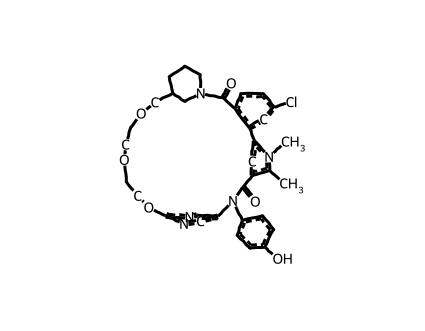 Cc1c2cc(n1C)-c1cc(Cl)ccc1C(=O)N1CCCC(COCCOCCOc3ncc(cn3)N(c3ccc(O)cc3)C2=O)C1